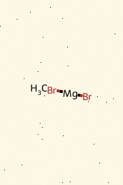 [Br][Mg][Br].[CH3]